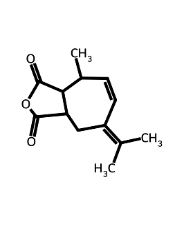 CC(C)=C1C=CC(C)C2C(=O)OC(=O)C2C1